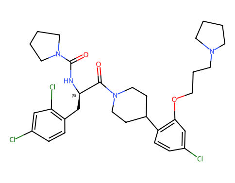 O=C(N[C@H](Cc1ccc(Cl)cc1Cl)C(=O)N1CCC(c2ccc(Cl)cc2OCCCN2CCCC2)CC1)N1CCCC1